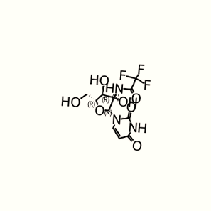 O=C(N[C@@]1(O)[C@H](O)[C@@H](CO)O[C@H]1n1ccc(=O)[nH]c1=O)C(F)(F)F